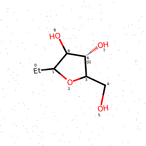 CCC1OC(CO)[C@@H](O)C1O